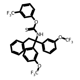 FC(F)(F)Oc1cccc(C(Cc2ccccc2)(NC(=S)Oc2cccc(C(F)(F)F)c2)c2cccc(OC(F)(F)F)c2)c1